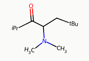 CC(C)C(=O)C(CC(C)(C)C)N(C)C